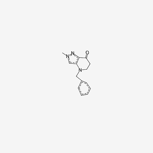 Cn1cc2c(n1)C(=O)CCN2Cc1ccccc1